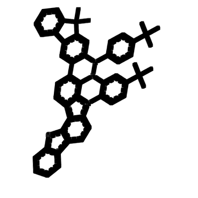 CC(C)(C)c1ccc(N2B3c4cc(C(C)(C)C)ccc4-n4c5ccc6c7ccccc7oc6c5c5ccc(c3c54)-c3cc4c(cc32)C(C)(C)c2ccccc2-4)cc1